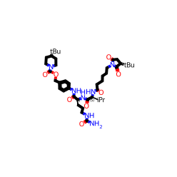 CC(C)[C@H](NC(=O)CCCCCN1C(=O)CC(C(C)(C)C)C1=O)C(=O)N[C@@H](CCCNC(N)=O)C(=O)Nc1ccc(COC(=O)N2CCC(C(C)(C)C)CC2)cc1